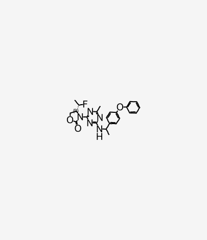 Cc1nc(NC(C)c2ccc(Oc3ccccc3)cc2)nc(N2C(=O)OC[C@@H]2C(C)F)n1